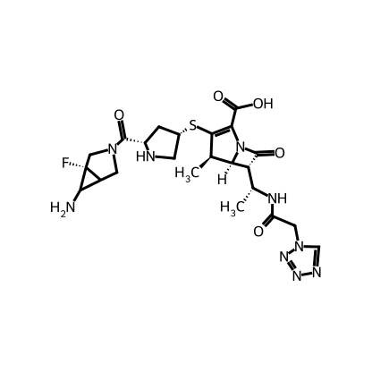 C[C@@H](NC(=O)Cn1cnnn1)[C@H]1C(=O)N2C(C(=O)O)=C(S[C@@H]3CN[C@H](C(=O)N4CC5C(N)[C@@]5(F)C4)C3)[C@H](C)[C@H]12